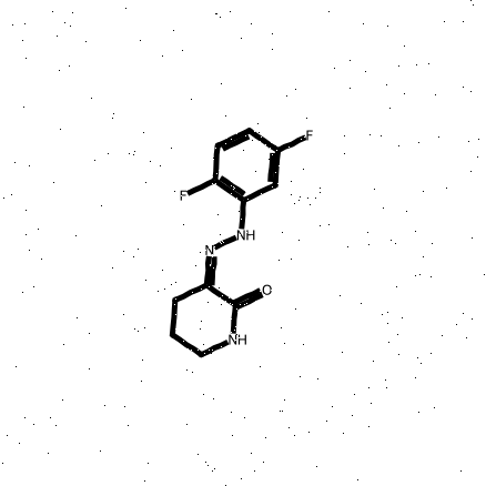 O=C1NCCCC1=NNc1cc(F)ccc1F